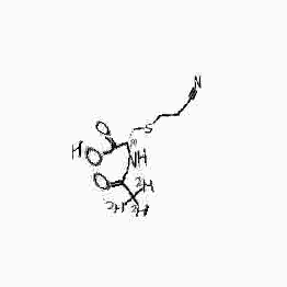 [2H]C([2H])([2H])C(=O)N[C@@H](CSCCC#N)C(=O)O